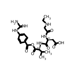 CCNCC(=O)N[C@@H](CC(=O)O)C(=O)N[C@H](C(=O)OC(=O)c1ccc(NC(=N)N)cc1)C(C)C